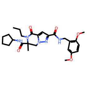 CCCN1C(=O)c2cc(C(=O)NCc3cc(OC)ccc3OC)nn2CC1(C)C(=O)NC1CCCC1